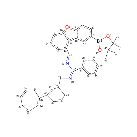 CC1(C)OB(c2ccc3oc4cccc(/C=N/C(=N\CC5C=C(C6=CC=CC=CC6)C=CC5)c5ccccc5)c4c3c2)OC1(C)C